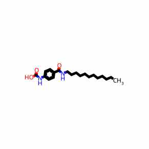 CCCCCCCCCCCCNC(=O)c1ccc(NC(=O)O)cc1